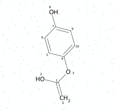 C=C(O)Oc1ccc(O)cc1